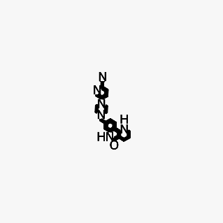 N#Cc1ccc(N2CCN(Cc3ccc4c5c(c(=O)[nH]c4c3)CCCN5)CC2)cn1